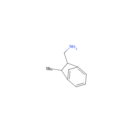 CC(C)(C)C1c2cccc(c2)C1CN